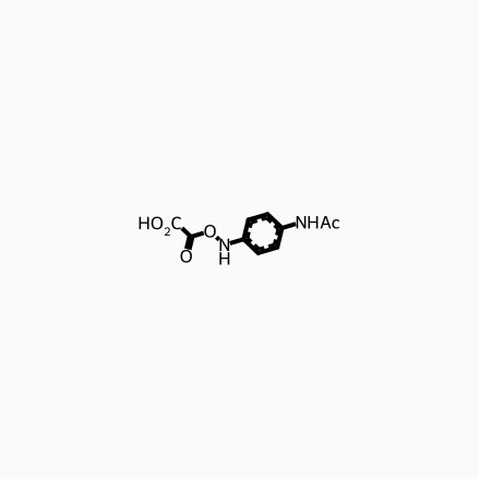 CC(=O)Nc1ccc(NOC(=O)C(=O)O)cc1